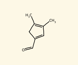 CC1=C(C)CC(C=O)=C1